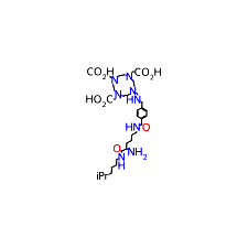 CC(C)CCCCNC(=O)[C@H](N)CCCCNC(=O)c1ccc(CNCN2CCN(CC(=O)O)CCN(CC(=O)O)CCN(CC(=O)O)CC2)cc1